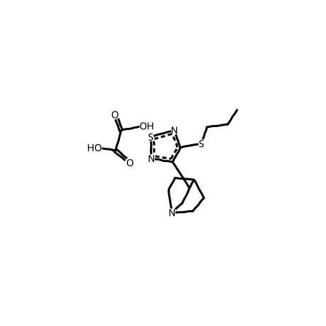 CCCSc1nsnc1C1CN2CCC1CC2.O=C(O)C(=O)O